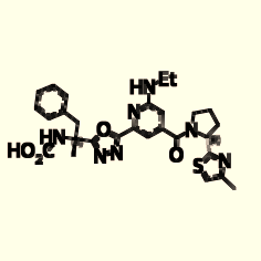 CCNc1cc(C(=O)N2CCC[C@@H]2c2nc(C)cs2)cc(-c2nnc([C@@](C)(Cc3ccccc3)NC(=O)O)o2)n1